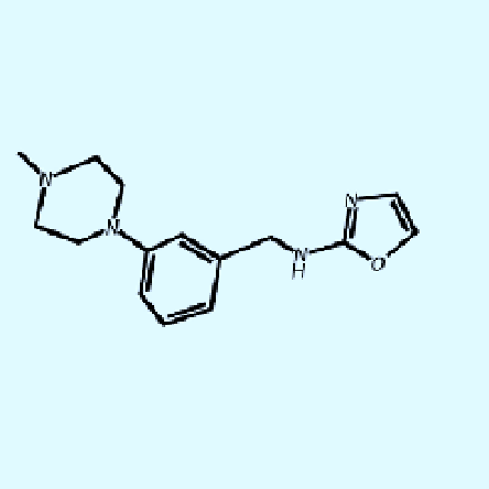 CN1CCN(c2cccc(CNc3ncco3)c2)CC1